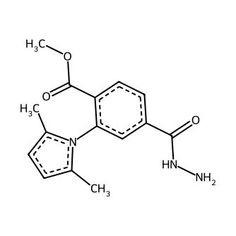 COC(=O)c1ccc(C(=O)NN)cc1-n1c(C)ccc1C